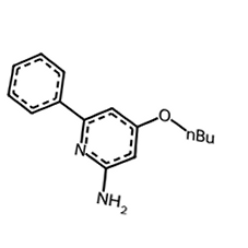 CCCCOc1cc(N)nc(-c2ccccc2)c1